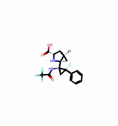 O=C(O)[C@@H]1C[C@H]2C[C@]2([C@@]2(NC(=O)C(F)(F)F)C[C@]2(F)c2ccccc2)N1